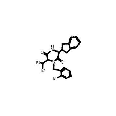 CCC(CC)C1C(=O)NC(C2Cc3ccccc3C2)C(=O)N1Cc1ccccc1Br